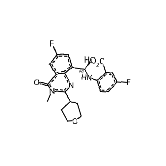 C[C@@H](Nc1ccc(F)cc1C(=O)O)c1cc(F)cc2c(=O)n(C)c(C3CCOCC3)nc12